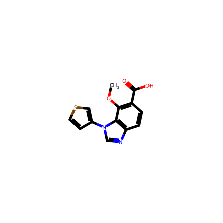 COc1c(C(=O)O)ccc2ncn(-c3ccsc3)c12